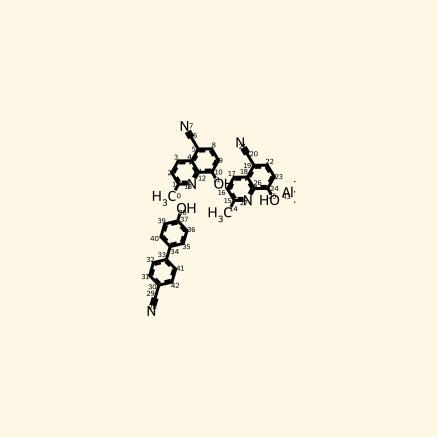 Cc1ccc2c(C#N)ccc(O)c2n1.Cc1ccc2c(C#N)ccc(O)c2n1.N#Cc1ccc(-c2ccc(O)cc2)cc1.[Al]